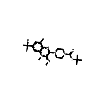 C/N=c1/c(N2CCN(C(=O)OC(C)(C)C)CC2)nc2c(C)cc(C(F)(F)F)cc2n1C